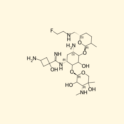 CN[C@@H]1C(O)[C@@H](OC2C(O)C(O[C@H]3O[C@H](CNCCF)CCC3C)[C@@H](N)C[C@H]2NC(=N)C2(O)CC(N)C2)OCC1(C)O